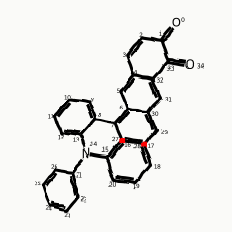 O=C1C=Cc2cc3c(-c4ccccc4N(c4ccccc4)c4ccccc4)cccc3cc2C1=O